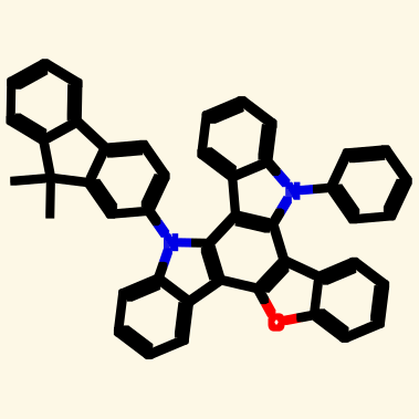 CC1(C)c2ccccc2-c2ccc(-n3c4ccccc4c4c5oc6ccccc6c5c5c(c6ccccc6n5-c5ccccc5)c43)cc21